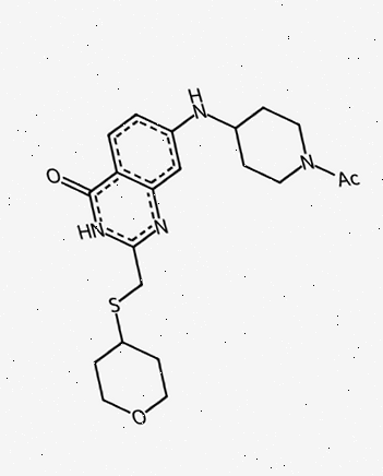 CC(=O)N1CCC(Nc2ccc3c(=O)[nH]c(CSC4CCOCC4)nc3c2)CC1